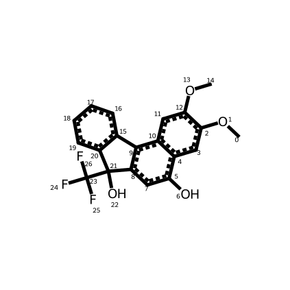 COc1cc2c(O)cc3c(c2cc1OC)-c1ccccc1C3(O)C(F)(F)F